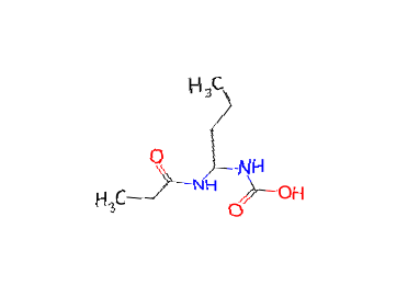 CCCC(NC(=O)O)NC(=O)CC